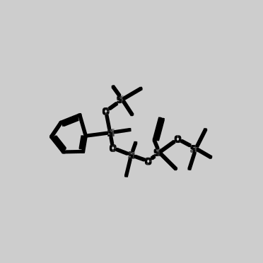 C=C[Si](C)(O[Si](C)(C)C)O[Si](C)(C)O[Si](C)(O[Si](C)(C)C)c1ccccc1